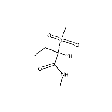 [2H]C(CC)(C(=O)NC)S(C)(=O)=O